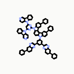 c1ccc(-c2ccc3nc(-c4cc(-c5cnc6cc(-c7ccccc7)ccc6n5)cc(-n5c6ccc(-c7ccccc7)cc6c6c7c8cc(-c9ccccc9)ccc8n(-c8nc(-n9c%10ccccc%10c%10cnccc%109)cc(-n9c%10ccccc%10c%10cnccc%109)n8)c7ccc65)c4)cnc3c2)cc1